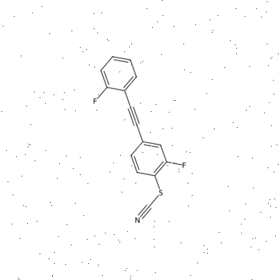 N#CSc1ccc(C#Cc2ccccc2F)cc1F